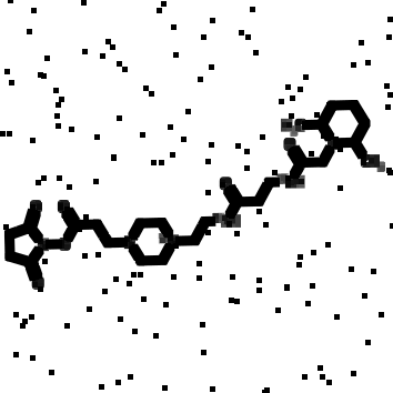 CC1CCCC(C)N1CC(=O)[15NH]CCC(=O)[15NH]CC[15N]1CCN(CCC(=O)ON2C(=O)CCC2=O)CC1